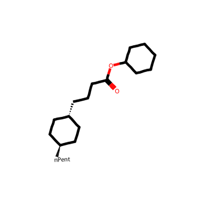 CCCCC[C@H]1CC[C@H](CCCC(=O)OC2CCCCC2)CC1